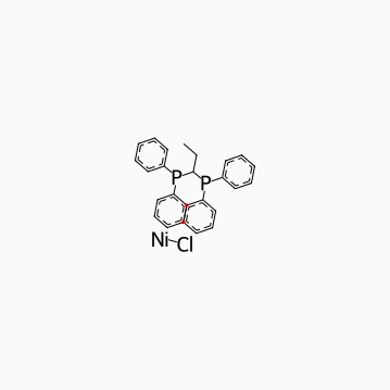 CCC(P(c1ccccc1)c1ccccc1)P(c1ccccc1)c1ccccc1.[Cl][Ni]